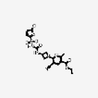 CCOC(=O)c1cc(C#N)c(N2CC(NC(=O)NS(=O)(=O)c3ccc(Cl)s3)C2)nc1C